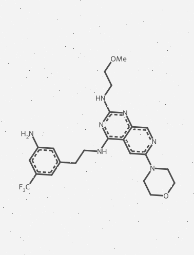 COCCNc1nc(NCCc2cc(N)cc(C(F)(F)F)c2)c2cc(N3CCOCC3)ncc2n1